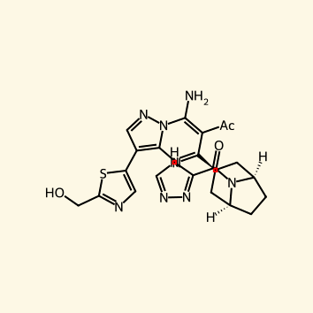 CC(=O)c1c([C@H]2C[C@H]3CC[C@@H](C2)N3C(=O)c2nnc[nH]2)nc2c(-c3cnc(CO)s3)cnn2c1N